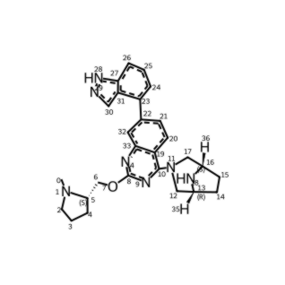 CN1CCC[C@H]1COc1nc(N2C[C@H]3CC[C@@H](C2)N3)c2ccc(-c3cccc4[nH]ncc34)cc2n1